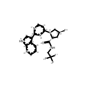 O=C(NCC(F)(F)F)[C@H]1C[C@H](F)CN1c1ccnc(-c2c[nH]c3ncccc23)n1